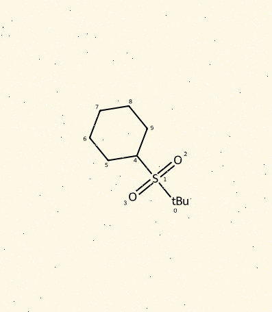 CC(C)(C)S(=O)(=O)C1CCCCC1